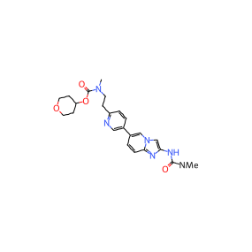 CNC(=O)Nc1cn2cc(-c3ccc(CCN(C)C(=O)OC4CCOCC4)nc3)ccc2n1